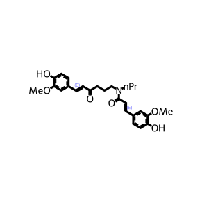 CCCN(CCCC(=O)/C=C/c1ccc(O)c(OC)c1)C(=O)/C=C/c1ccc(O)c(OC)c1